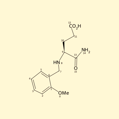 COc1ccccc1CN[C@@H](CCC(=O)O)C(N)=O